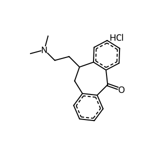 CN(C)CCC1Cc2ccccc2C(=O)c2ccccc21.Cl